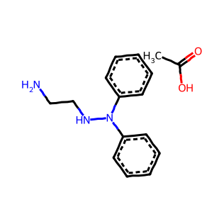 CC(=O)O.NCCNN(c1ccccc1)c1ccccc1